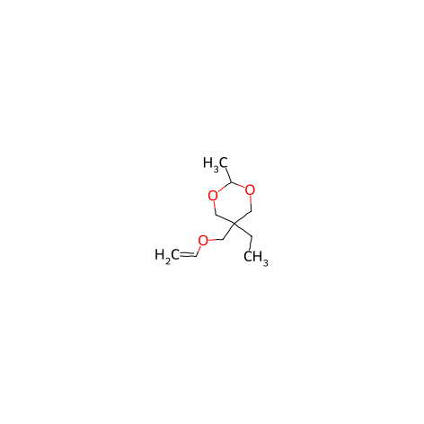 C=COCC1(CC)COC(C)OC1